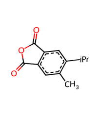 Cc1cc2c(cc1C(C)C)C(=O)OC2=O